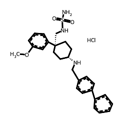 COc1cccc([C@]2(CNS(N)(=O)=O)CC[C@@H](NCc3ccc(-c4ccccc4)cc3)CC2)c1.Cl